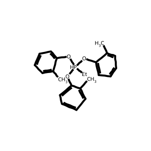 CC[PH](Oc1ccccc1C)(Oc1ccccc1C)Oc1ccccc1C